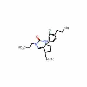 CC(=O)NCC1CCC2(c3ccc(CCC(C)(C)C)c(Cl)c3)NC(=O)N(CCC(=O)O)C=C12